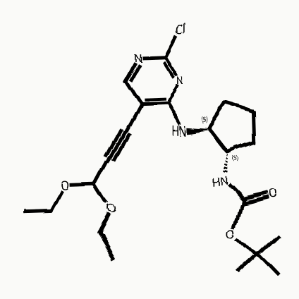 CCOC(C#Cc1cnc(Cl)nc1N[C@H]1CCC[C@@H]1NC(=O)OC(C)(C)C)OCC